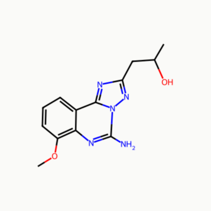 COc1cccc2c1nc(N)n1nc(CC(C)O)nc21